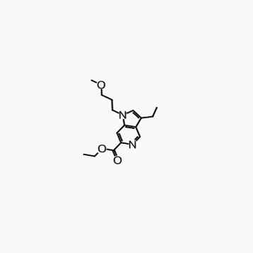 CCOC(=O)c1cc2c(cn1)c(CC)cn2CCCOC